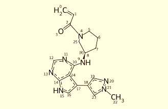 C=CC(=O)N1CCC[C@@H](Nc2ncnc3[nH]cc(-c4cnn(C)c4)c23)C1